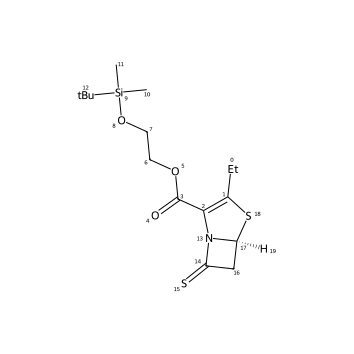 CCC1=C(C(=O)OCCO[Si](C)(C)C(C)(C)C)N2C(=S)C[C@@H]2S1